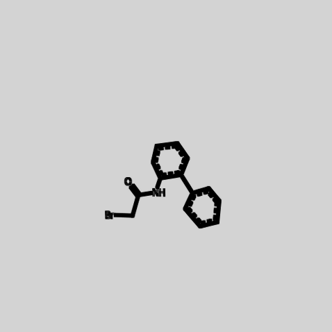 O=C(CBr)Nc1ccccc1-c1ccccc1